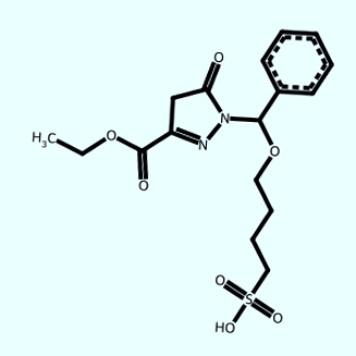 CCOC(=O)C1=NN(C(OCCCCS(=O)(=O)O)c2ccccc2)C(=O)C1